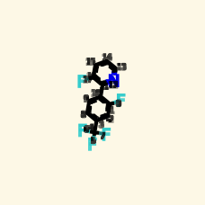 Fc1[c]c(C(F)(F)F)ccc1-c1ncccc1F